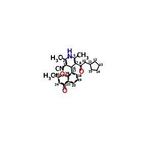 [C-]#[N+]C1=C(C)NC(C)=C(C(=O)CC2CCCC2)C1c1cccc2c(=O)cc(C)oc12